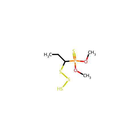 CCC(SSS)P(=S)(OC)OC